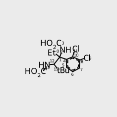 CCC(NC(=O)O)(c1cccc(Cl)c1Cl)C(NC(=O)O)C(C)(C)C